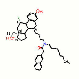 CCCCCCN(CCCC[C@@H]1Cc2cc(O)ccc2C2C1C1CC[C@H](O)[C@@]1(C)C[C@@H]2F)C(=O)Cc1ccc2ccccc2c1